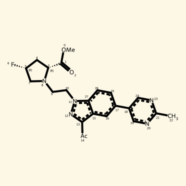 COC(=O)[C@H]1C[C@@H](F)CN1CCn1nc(C(C)=O)c2cc(-c3cnc(C)nc3)ccc21